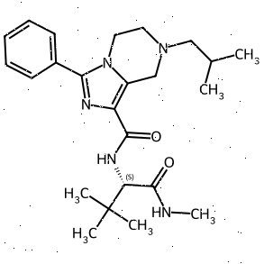 CNC(=O)[C@@H](NC(=O)c1nc(-c2ccccc2)n2c1CN(CC(C)C)CC2)C(C)(C)C